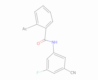 CC(=O)c1ccccc1C(=O)Nc1cc(F)cc(C#N)c1